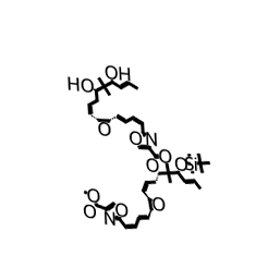 C/C=C/[C@H](O[Si](C)(C)C(C)(C)C)C(C)(C)[C@H](C/C=C\[C@H]1O[C@H]1/C=C/C=C\c1nc(C(=O)OC)co1)OC(=O)c1coc(/C=C\C=C\[C@@H]2O[C@@H]2/C=C\C[C@H](O)C(C)(C)[C@@H](O)/C=C/C)n1